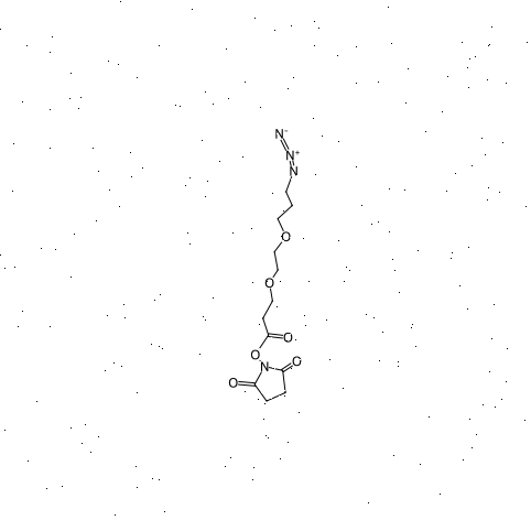 [N-]=[N+]=NCCCOCCOCCC(=O)ON1C(=O)CCC1=O